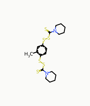 Cc1cc(SSC(=S)N2CCCCC2)ccc1SSC(=S)N1CCCCC1